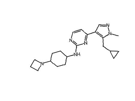 Cn1ncc(-c2ccnc(NC3CCC(N4CCC4)CC3)n2)c1CC1CC1